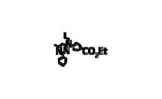 C=CCN(c1ccc(C(=O)OCC)cc1)c1cc(C)nc(-c2ccccc2)n1